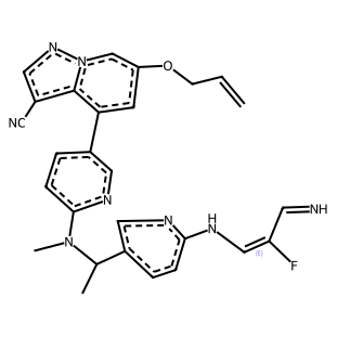 C=CCOc1cc(-c2ccc(N(C)C(C)c3ccc(N/C=C(/F)C=N)nc3)nc2)c2c(C#N)cnn2c1